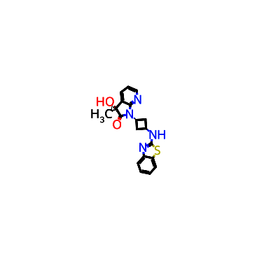 C[C@@]1(O)C(=O)N([C@H]2C[C@H](Nc3nc4ccccc4s3)C2)c2ncccc21